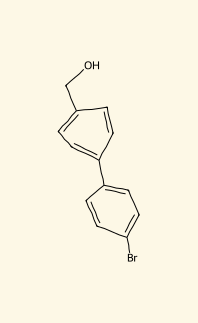 OCc1ccc(-c2ccc(Br)cc2)cc1